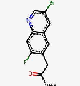 COC(=O)Cc1cc2cc(Br)cnc2cc1F